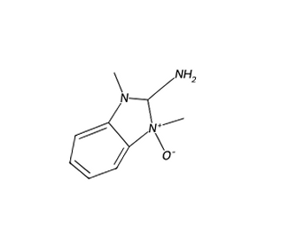 CN1c2ccccc2[N+](C)([O-])C1N